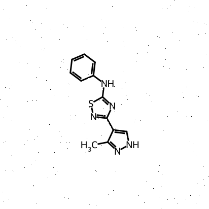 Cc1n[nH]cc1-c1nsc(Nc2ccccc2)n1